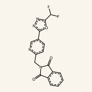 O=C1c2ccccc2C(=O)N1Cc1ccc(-c2nnc(C(F)F)o2)cn1